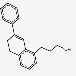 OCCCc1cccc2c1C=C(c1ccccc1)CC2